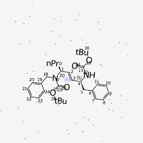 CCC[C@@H](/C=C/[C@H](Cc1ccccc1)NC(=O)OC(C)(C)C)N(Cc1ccccc1)C(=O)OC(C)(C)C